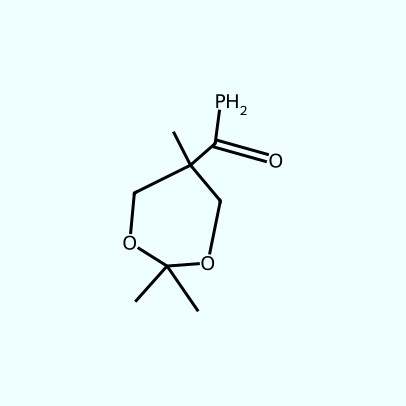 CC1(C)OCC(C)(C(=O)P)CO1